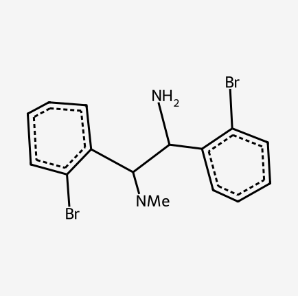 CNC(c1ccccc1Br)C(N)c1ccccc1Br